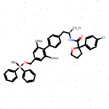 COc1cc(CO[Si](c2ccccc2)(c2ccccc2)C(C)(C)C)cc(OC)c1-c1ccc(C[C@H](NC(=O)C2(c3ccc(Cl)cc3)CCCO2)C(=O)O)cc1